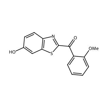 COc1ccccc1C(=O)c1nc2ccc(O)cc2s1